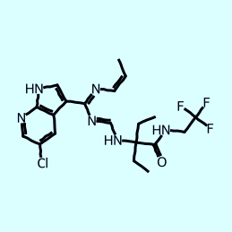 C\C=C/N=C(\N=C\NC(CC)(CC)C(=O)NCC(F)(F)F)c1c[nH]c2ncc(Cl)cc12